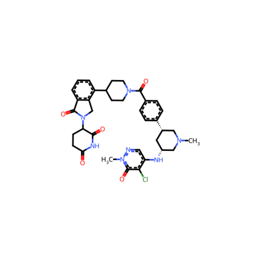 CN1C[C@H](Nc2cnn(C)c(=O)c2Cl)C[C@H](c2ccc(C(=O)N3CCC(c4cccc5c4CN(C4CCC(=O)NC4=O)C5=O)CC3)cc2)C1